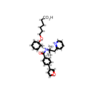 [2H]C([2H])(Cc1ccccn1)N(Cc1ccccc1OCCCCCC(=O)O)C(=O)c1ccc(-c2ccoc2)cc1